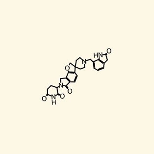 O=C1CCC(N2Cc3c(ccc4c3OCC43CCN(Cc4cccc5c4NC(=O)C5)CC3)C2=O)C(=O)N1